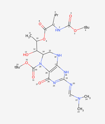 CC(C)C(NC(=O)OC(C)(C)C)C(=O)OC(C)C(O)C1CNc2[nH]c(/N=C/N(C)C)nc(=O)c2N1C(=O)OC(C)(C)C